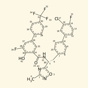 Cc1noc([C@@H](Cc2ccc(-c3ccc(F)c(Cl)c3)cc2)NC(=O)c2cc(-c3ccc(C(F)(F)F)cc3)cc(F)c2O)n1